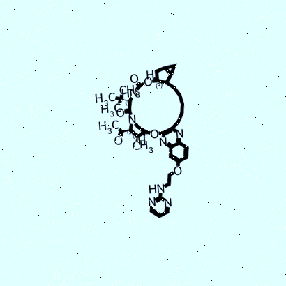 CC(=O)[C@@H]1[C@H](C)[C@@H]2CN1C(=O)[C@H](C(C)(C)C)NC(=O)O[C@@H]1CC3CC3C1CCCCCc1nc3ccc(OCCNc4ncccn4)cc3nc1O2